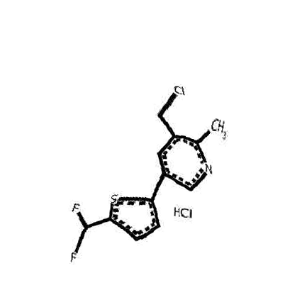 Cc1ncc(-c2ccc(C(F)F)s2)cc1CCl.Cl